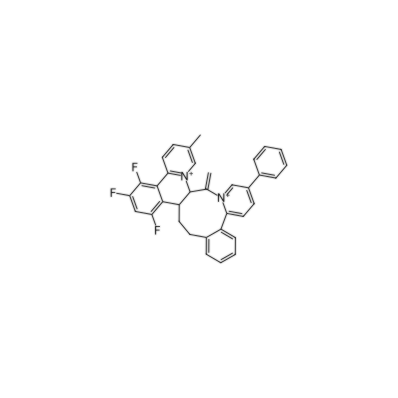 C=C1C2C(CCc3ccccc3-c3ccc(-c4ccccc4)c[n+]31)c1c(F)cc(F)c(F)c1-c1ccc(C)c[n+]12